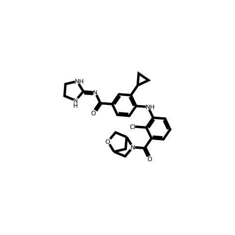 O=C(N=C1NCCN1)c1ccc(Nc2cccc(C(=O)N3CC4CC3CO4)c2Cl)c(C2CC2)c1